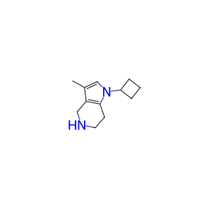 Cc1cn(C2CCC2)c2c1CNCC2